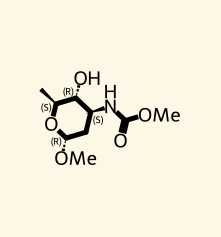 COC(=O)N[C@H]1C[C@H](OC)O[C@@H](C)[C@@H]1O